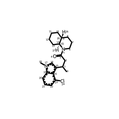 CC(CC(=O)N1CCC[C@H]2CCCC[C@@H]21)c1cn(C)c2cccc(Cl)c12